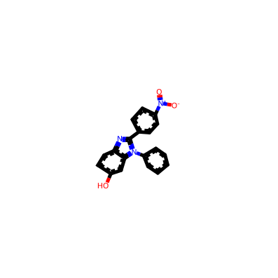 O=[N+]([O-])c1ccc(-c2nc3ccc(O)cc3n2-c2ccccc2)cc1